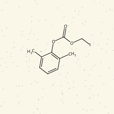 Cc1cccc(C)c1OC(=O)OCI